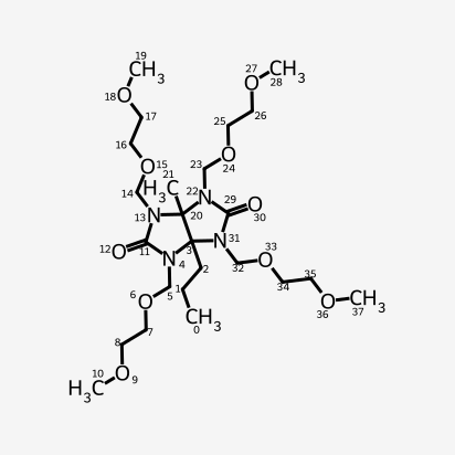 CCCC12N(COCCOC)C(=O)N(COCCOC)C1(C)N(COCCOC)C(=O)N2COCCOC